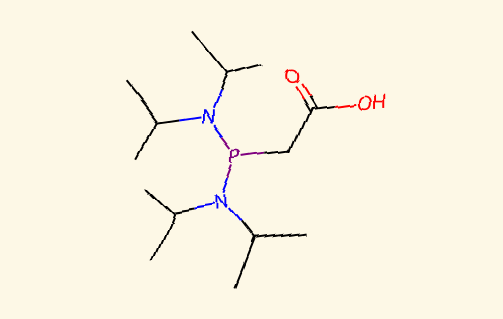 CC(C)N(C(C)C)P(CC(=O)O)N(C(C)C)C(C)C